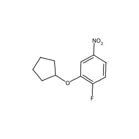 O=[N+]([O-])c1ccc(F)c(OC2CCCC2)c1